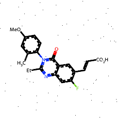 CCc1nc2cc(F)c(C=CC(=O)O)cc2c(=O)n1-c1ccc(OC)cc1C